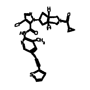 Cc1cc(C#Cc2cccs2)cnc1NC(=O)c1c(Cl)cnn1[C@H]1C[C@@H]2CN(C(=O)C3CC3)C[C@@H]2C1